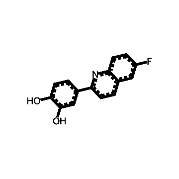 Oc1ccc(-c2ccc3cc(F)ccc3n2)cc1O